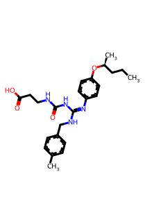 CCC[C@H](C)Oc1ccc(/N=C(/NCc2ccc(C)cc2)NC(=O)NCCC(=O)O)cc1